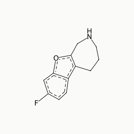 Fc1ccc2c3c(oc2c1)CNCCC3